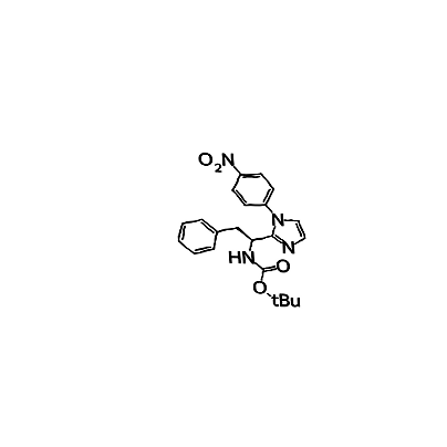 CC(C)(C)OC(=O)N[C@@H](Cc1ccccc1)c1nccn1-c1ccc([N+](=O)[O-])cc1